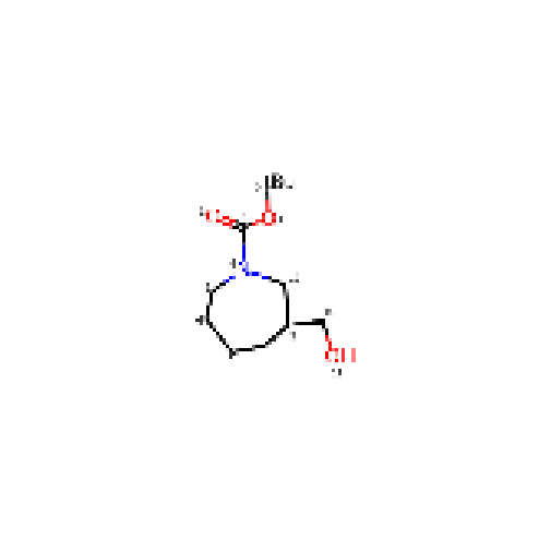 CC(C)(C)OC(=O)N1CCCC[C@H](CO)C1